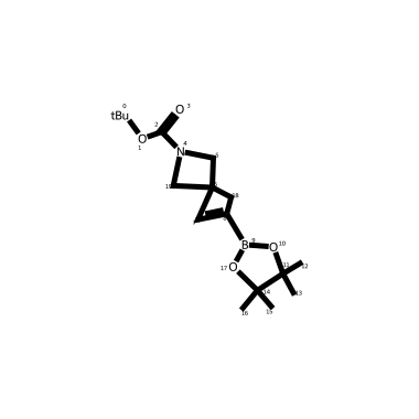 CC(C)(C)OC(=O)N1CC2(C=C(B3OC(C)(C)C(C)(C)O3)C2)C1